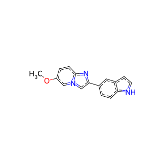 COc1ccc2nc(-c3ccc4[nH]ccc4c3)cn2c1